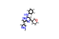 Cn1cc(-c2cnn3c(Nc4ccccc4)cc(C4CCCOC4)nc23)cn1